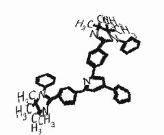 CC1(C)N=C(c2ccc(-c3cc(-c4ccccc4)cc(-c4ccc(C5=NC(C)(C)C(C)(C)N5c5ccccc5)cc4)n3)cc2)N(c2ccccc2)C1(C)C